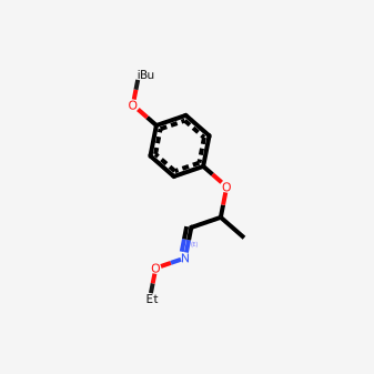 CCO/N=C/C(C)Oc1ccc(OC(C)CC)cc1